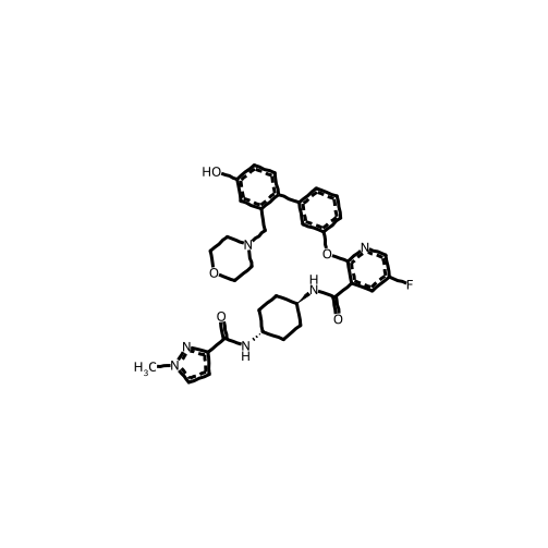 Cn1ccc(C(=O)N[C@H]2CC[C@H](NC(=O)c3cc(F)cnc3Oc3cccc(-c4ccc(O)cc4CN4CCOCC4)c3)CC2)n1